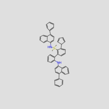 CS(C)(Nc1ccc(-c2ccccc2)c2ccccc12)c1c(-c2ccccc2Nc2ccc(-c3ccccc3)c3ccccc23)cccc1C1C=CC=C1